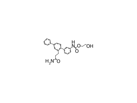 NC(=O)CCc1cc(-c2ccccc2)ccc1-c1cccc(NC(=O)OCCO)c1